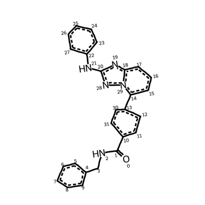 O=C(NCc1ccccc1)c1ccc(-c2cccc3nc(Nc4ccccc4)nn23)cc1